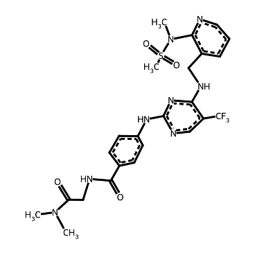 CN(C)C(=O)CNC(=O)c1ccc(Nc2ncc(C(F)(F)F)c(NCc3cccnc3N(C)S(C)(=O)=O)n2)cc1